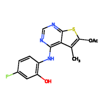 CC(=O)Oc1sc2ncnc(Nc3ccc(F)cc3O)c2c1C